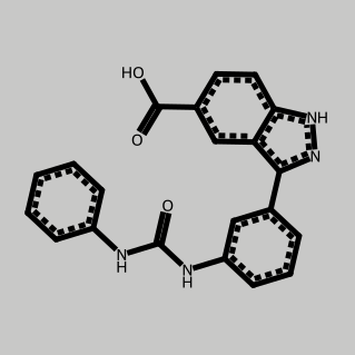 O=C(Nc1ccccc1)Nc1cccc(-c2n[nH]c3ccc(C(=O)O)cc23)c1